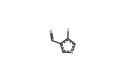 O=Cc1cscc1I